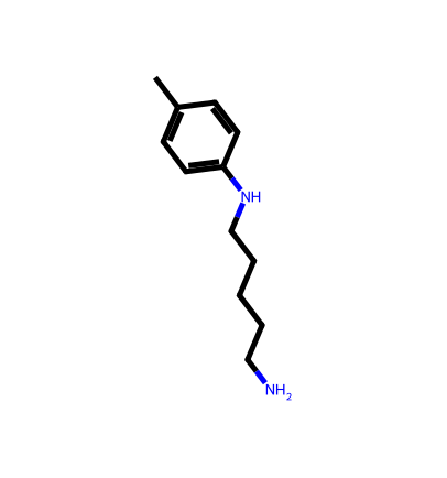 Cc1ccc(NCCCCCN)cc1